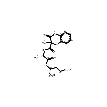 C[C@H](NC(=O)C1(C)Nc2cccnc2OC1=O)C(=O)N[C@H](CCC(=O)O)C(=O)O